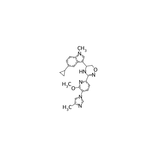 COc1nc(C2=NOCC(c3cn(C)c4ccc(C5CC5)cc34)N2)ccc1-n1cnc(C)c1